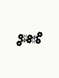 c1ccc(C(=NNc2cccc3c(NN=C(c4ccccc4)c4ccccc4)cccc23)c2ccccc2)cc1